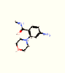 CNC(=O)c1ccc(N)cc1N1CCOCC1